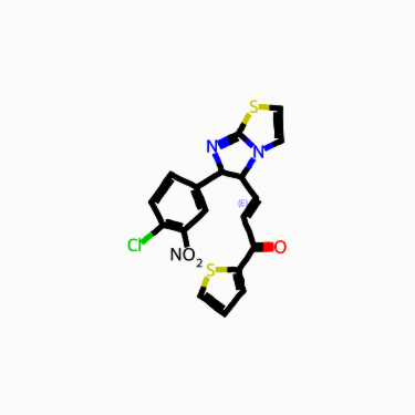 O=C(/C=C/C1C(c2ccc(Cl)c([N+](=O)[O-])c2)N=C2SC=CN21)c1cccs1